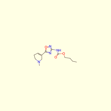 CCCCOC(=O)Nc1noc(C2=CCCN(C)C2)n1